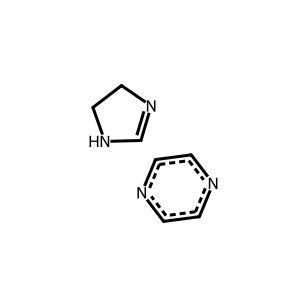 C1=NCCN1.c1cnccn1